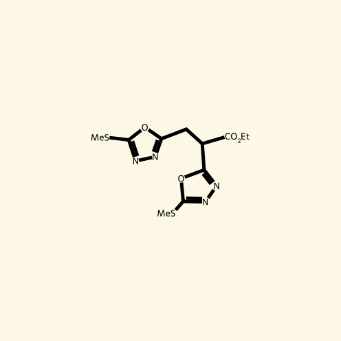 CCOC(=O)C(Cc1nnc(SC)o1)c1nnc(SC)o1